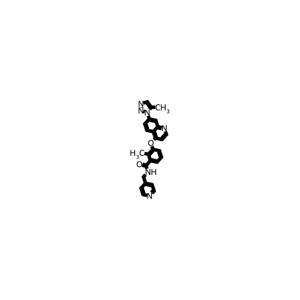 Cc1c(Oc2ccnc3cc(-n4nncc4C)ccc23)cccc1C(=O)NCc1ccncc1